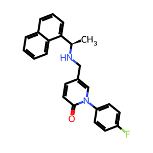 C[C@@H](NCc1ccc(=O)n(-c2ccc(F)cc2)c1)c1cccc2ccccc12